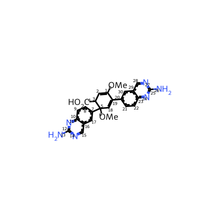 COC1=CC(C(=O)O)C(OC)(c2ccc3nc(N)ncc3c2)C=C1c1ccc2nc(N)ncc2c1